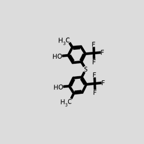 Cc1cc(C(F)(F)F)c(Sc2cc(O)c(C)cc2C(F)(F)F)cc1O